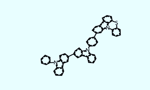 c1ccc(-n2c3ccccc3c3cc(-c4ccc5c(c4)c4ccccc4n5-c4ccc(-c5ccc6c7cccc8c7n(c6c5)-c5ccccc5S8)cc4)ccc32)cc1